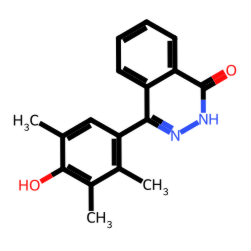 Cc1cc(-c2n[nH]c(=O)c3ccccc23)c(C)c(C)c1O